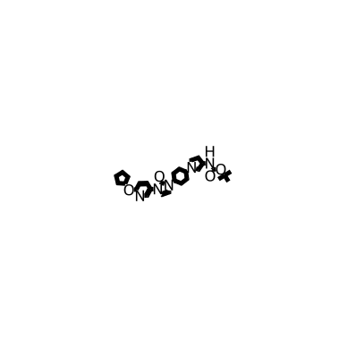 CC(C)(C)OC(=O)NC1CCN(C2CCC(n3ccn(-c4ccc(OC5CCCC5)nc4)c3=O)CC2)C1